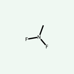 CN(F)F